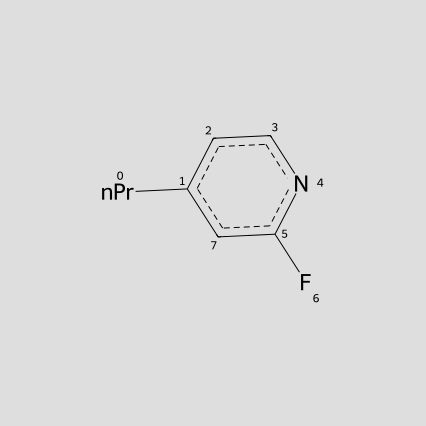 CCCc1ccnc(F)c1